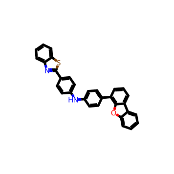 c1ccc2sc(-c3ccc(Nc4ccc(-c5cccc6c5oc5ccccc56)cc4)cc3)nc2c1